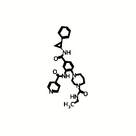 CCNC(=O)N1CCCN(c2ccc(C(=O)N[C@@H]3C[C@H]3c3ccccc3)cc2NC(=O)c2ccncc2)CC1